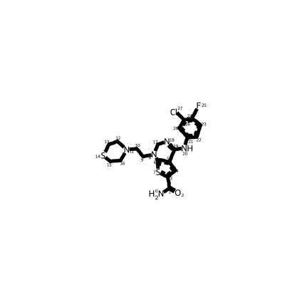 NC(=O)c1cc2c(s1)N(CCN1CCSCC1)CN=C2Nc1ccc(F)c(Cl)c1